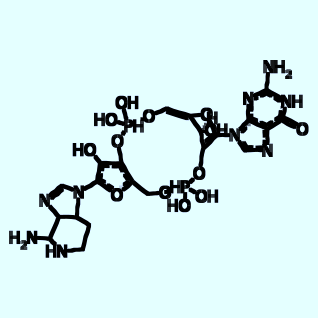 Nc1nc2c(ncn2C2=C3O[PH](O)(O)OCc4oc(N5C=NC6C(N)NCCC65)c(O)c4O[PH](O)(O)O/C=C(/O2)[C@H]3O)c(=O)[nH]1